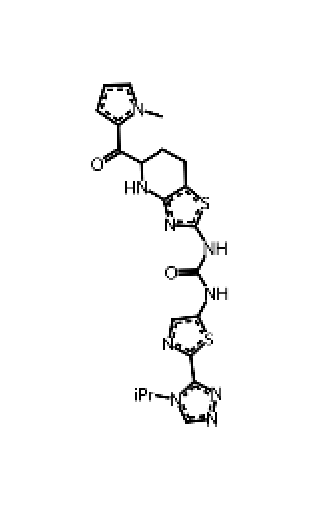 CC(C)n1cnnc1-c1ncc(NC(=O)Nc2nc3c(s2)CCC(C(=O)c2cccn2C)N3)s1